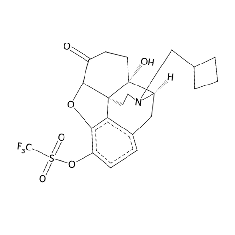 O=C1CC[C@@]2(O)[C@H]3Cc4ccc(OS(=O)(=O)C(F)(F)F)c5c4[C@@]2(CCN3CC2CCC2)C1O5